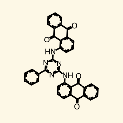 O=C1c2ccccc2C(=O)c2c(Nc3nc(Nc4cccc5c4C(=O)c4ccccc4C5=O)nc(-c4ccccc4)n3)cccc21